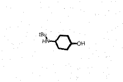 CC(C)(C)NC1CCC(O)CC1